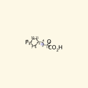 O=C(O)C(=O)/C=C/c1ccc(F)cc1